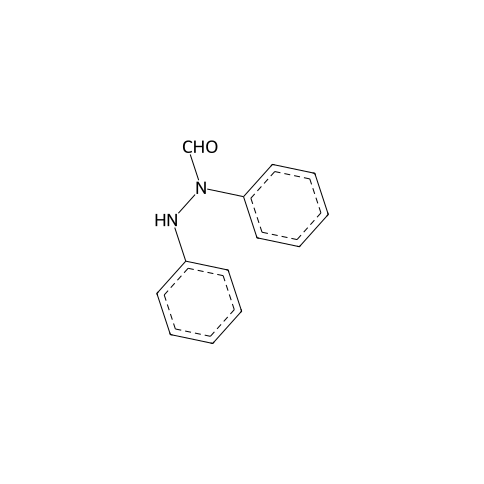 O=CN(Nc1ccccc1)c1ccccc1